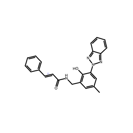 Cc1cc(CNC(=O)/C=C/c2ccccc2)c(O)c(-n2nc3ccccc3n2)c1